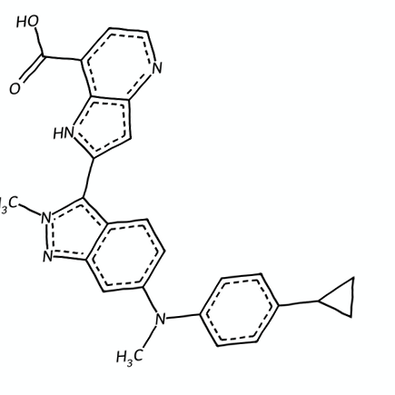 CN(c1ccc(C2CC2)cc1)c1ccc2c(-c3cc4nccc(C(=O)O)c4[nH]3)n(C)nc2c1